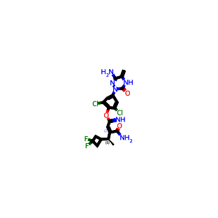 C=C1NC(=O)N(c2cc(Cl)c(OC(=N)/C=C(\C(N)=O)[C@@H](C)C3CC(F)(F)C3)c(Cl)c2)N=C1N